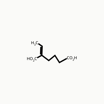 CC=C(CCCC(=O)O)C(=O)O